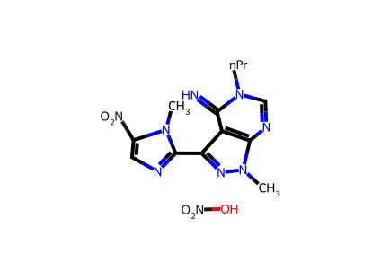 CCCn1cnc2c(c(-c3ncc([N+](=O)[O-])n3C)nn2C)c1=N.O=[N+]([O-])O